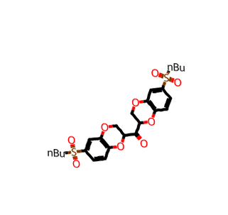 CCCCS(=O)(=O)c1ccc2c(c1)OCC(C(=O)C1COc3cc(S(=O)(=O)CCCC)ccc3O1)O2